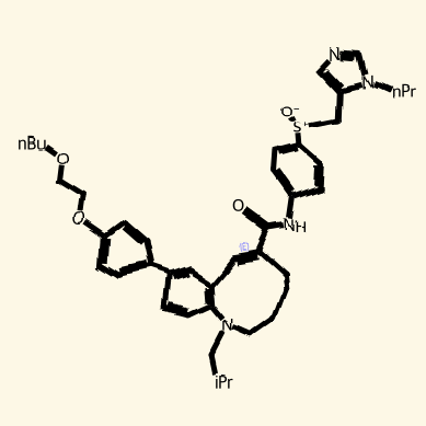 CCCCOCCOc1ccc(-c2ccc3c(c2)/C=C(/C(=O)Nc2ccc([S+]([O-])Cc4cncn4CCC)cc2)CCCCN3CC(C)C)cc1